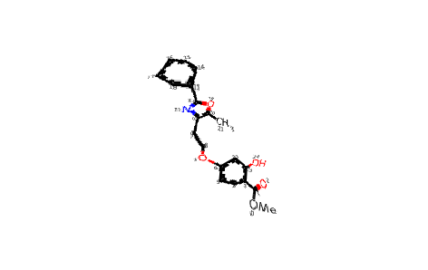 COC(=O)c1ccc(OCCc2nc(-c3ccccc3)oc2C)cc1O